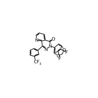 O=c1c2cccnc2c(-c2cccc(C(F)(F)F)c2)nn1-c1cc2c(F)c(F)c1OCO2